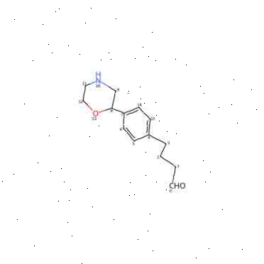 O=CCCCc1ccc(C2CNCCO2)cc1